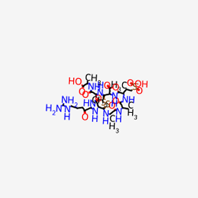 CCC(NC(=O)C(C)NC(=S)C1NC(C(=O)CCCNC(N)N)NC1=O)C(=O)NC(C(C)CS(=O)(=O)O)C1NC(C(=S)NC(C)C(=O)NC(C)C(=O)O)C(=O)O1